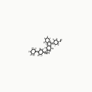 Fc1ccc(-n2c3ccccc3c3cc(Nc4ccc(-c5ccccc5)cc4)ccc32)cc1